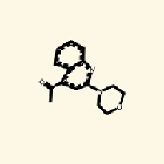 CC(=O)c1cc(N2CCOCC2)nc2ccccc12